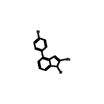 CCCCC1=Cc2c(-c3ccc(CC)cc3)cccc2[CH]1[Zr]